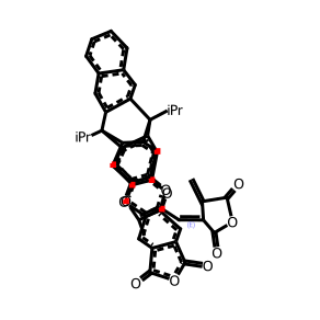 C=C1C(=O)OC(=O)/C1=C/C1=C(C)Oc2cc3c(cc2O1)C1(C(C)C)c2cc4ccccc4cc2C3(C(C)C)c2cc3oc4cc5c(=O)oc(=O)c5cc4oc3cc21